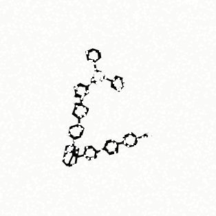 N#Cc1ccc(-c2ccc(-c3ccc(C45CC6CC(C4)CC(c4ccc(-c7ccc8c(c7)sc7ccc(-c9nc(-c%10ccccc%10)nc(-c%10ccccc%10)n9)cc78)cc4)(C6)C5)cc3)cc2)cc1